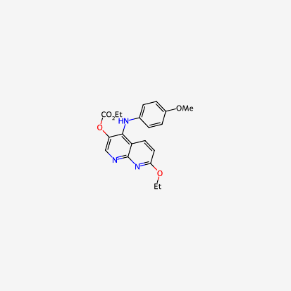 CCOC(=O)Oc1cnc2nc(OCC)ccc2c1Nc1ccc(OC)cc1